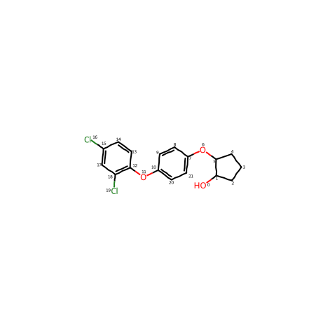 OC1CCCC1Oc1ccc(Oc2ccc(Cl)cc2Cl)cc1